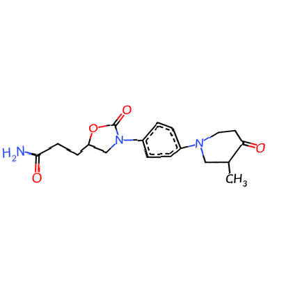 CC1CN(c2ccc(N3CC(CCC(N)=O)OC3=O)cc2)CCC1=O